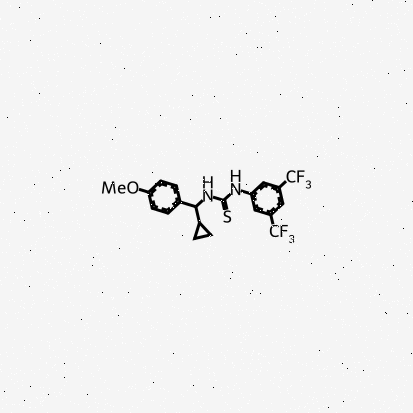 COc1ccc(C(NC(=S)Nc2cc(C(F)(F)F)cc(C(F)(F)F)c2)C2CC2)cc1